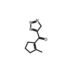 CC1=C(C(=O)C2=NN=NC2)CCC1